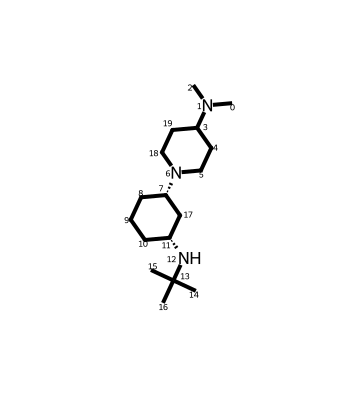 CN(C)C1CCN([C@H]2CCC[C@@H](NC(C)(C)C)C2)CC1